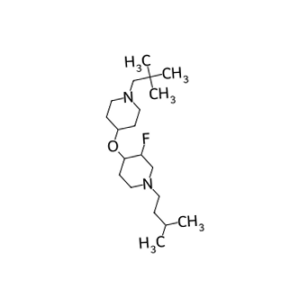 CC(C)CCN1CCC(OC2CCN(CC(C)(C)C)CC2)C(F)C1